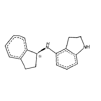 c1ccc2c(c1)CC[C@@H]2Nc1cccc2c1CCN2